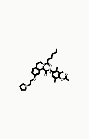 CCCCCC(=O)N1CCc2ccc(OCCN3CCCC3)cc2C1C(=O)Nc1cc(C)c(OC(C)=O)c(C)c1C